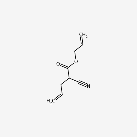 C=CCOC(=O)C(C#N)CC=C